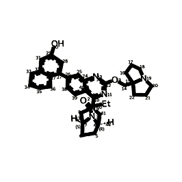 CCC(=O)N1[C@@H]2CC[C@H]1CN(c1nc(OCC34CCCN3CCC4)nc3cc(-c4cc(O)cc5ccccc45)ccc13)C2